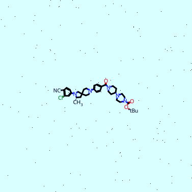 C[C@H]1CC2(CCN(c3ccc(C(=O)N4CCC(N5CCN(C(=O)OC(C)(C)C)CC5)CC4)cc3)CC2)CN1c1ccc(C#N)c(Cl)c1